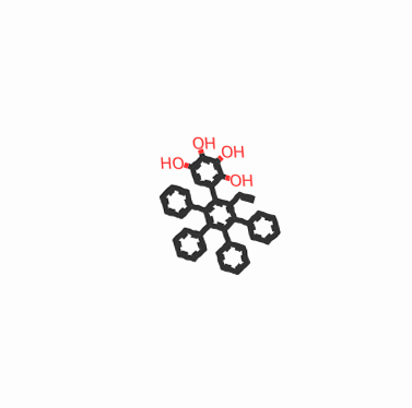 C=Cc1c(-c2ccccc2)c(-c2ccccc2)c(-c2ccccc2)c(-c2ccccc2)c1-c1cc(O)c(O)c(O)c1O